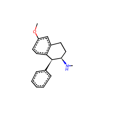 CN[C@@H]1CCc2cc(OC)ccc2[C@@H]1c1ccccc1